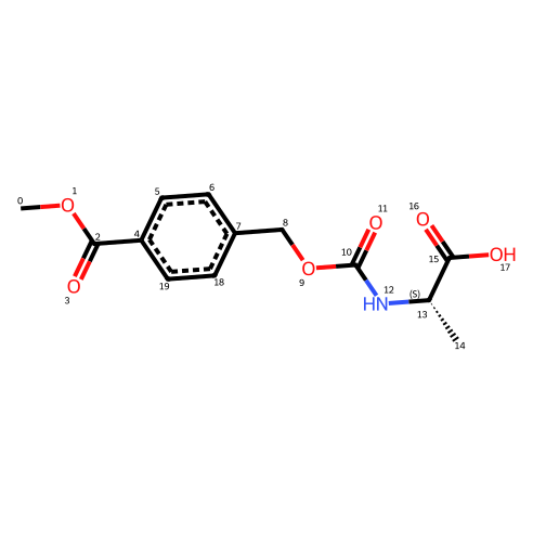 COC(=O)c1ccc(COC(=O)N[C@@H](C)C(=O)O)cc1